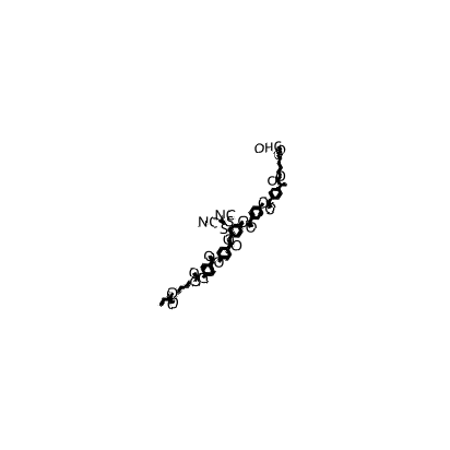 [C-]#[N+]/C(C#N)=C1/Sc2c(OC(=O)c3ccc(OC(=O)c4ccc(OC(=O)OCCCCOC(=O)C=C)cc4)cc3)ccc(OC(=O)c3ccc(OC(=O)c4ccc(C(=C)C(=O)OCCCCOOC=O)cc4)cc3)c2S1